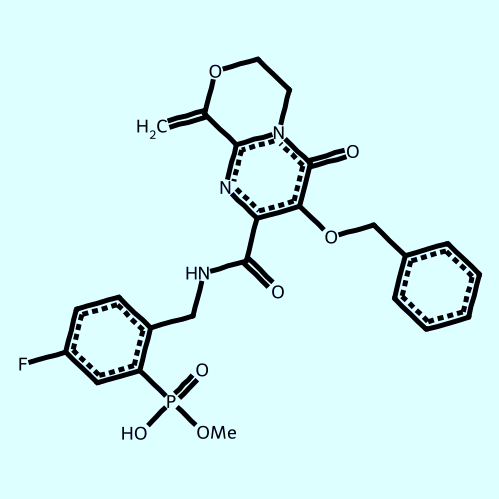 C=C1OCCn2c1nc(C(=O)NCc1ccc(F)cc1P(=O)(O)OC)c(OCc1ccccc1)c2=O